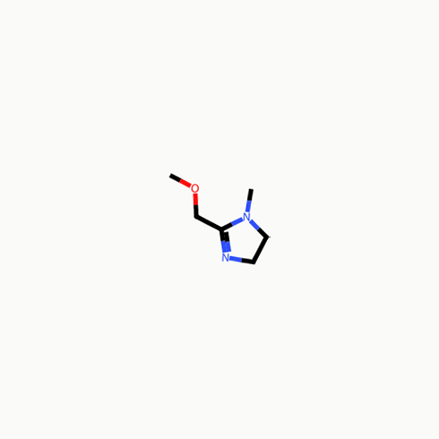 COCC1=NC[CH]N1C